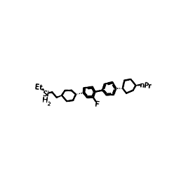 CCC[C@H]1CC[C@H](c2ccc(-c3ccc([C@H]4CC[C@H](CC[SiH2]CC)CC4)cc3F)cc2)CC1